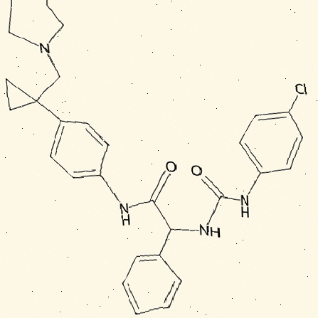 O=C(Nc1ccc(Cl)cc1)NC(C(=O)Nc1ccc(C2(CN3CCCC3)CC2)cc1)c1ccccc1